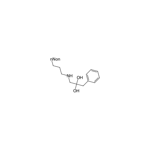 CCCCCCCCCCCCNCC(O)(O)Cc1ccccc1